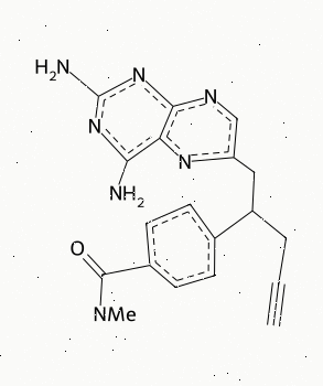 C#CCC(Cc1cnc2nc(N)nc(N)c2n1)c1ccc(C(=O)NC)cc1